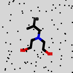 CC(CN(CCO)CCO)N=O